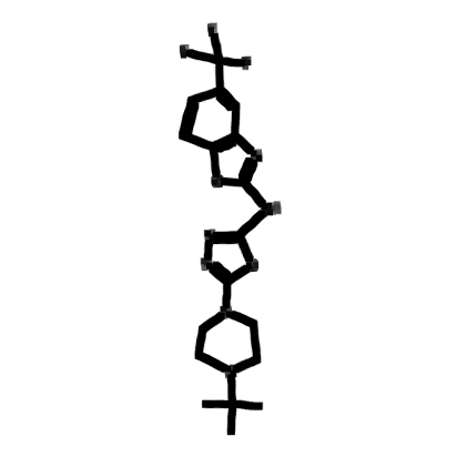 CC(C)(C)N1CCN(c2nnc(Nc3nc4cc(C(F)(F)F)ccc4o3)o2)CC1